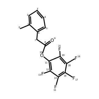 Cc1ccccc1CC(=O)Oc1c(F)c(F)c(F)c(F)c1F